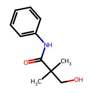 CC(C)(CO)C(=O)Nc1ccccc1